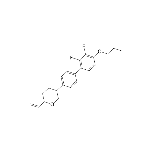 C=CC1CCC(c2ccc(-c3ccc(OCCC)c(F)c3F)cc2)CO1